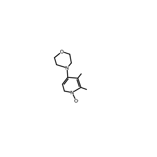 CC1=C(C)N([O])CC=C1N1CCOCC1